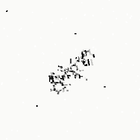 CB(O)Nc1cc(C(=O)On2nnc3ccccc32)n(C)c1